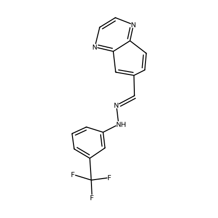 FC(F)(F)c1cccc(NN=Cc2ccc3nccnc3c2)c1